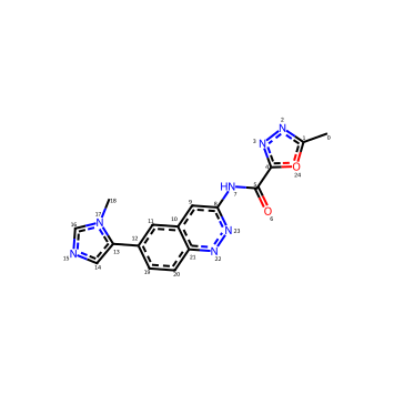 Cc1nnc(C(=O)Nc2cc3cc(-c4cncn4C)ccc3nn2)o1